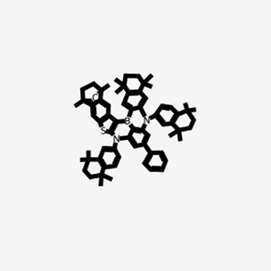 CC1(C)CCC(C)(C)c2cc(N3c4cc5c(cc4B4c6c3cc(-c3ccccc3)cc6N(c3ccc6c(c3)C(C)(C)CCC6(C)C)c3sc6cc7c(cc6c34)C3(C)CCC7(C)CC3)C(C)(C)CCC5(C)C)ccc21